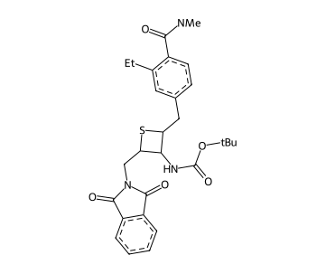 CCc1cc(CC2SC(CN3C(=O)c4ccccc4C3=O)C2NC(=O)OC(C)(C)C)ccc1C(=O)NC